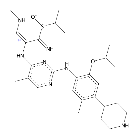 CN/C=C(/Nc1nc(Nc2cc(C)c(C3CCNCC3)cc2OC(C)C)ncc1C)C(=N)[S+]([O-])C(C)C